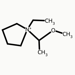 CC[N+]1(C(C)OC)CCCC1